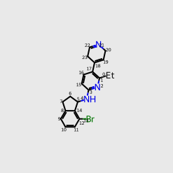 CCc1nc(NC2CCc3cccc(Br)c32)ccc1C1=CCN=CC1